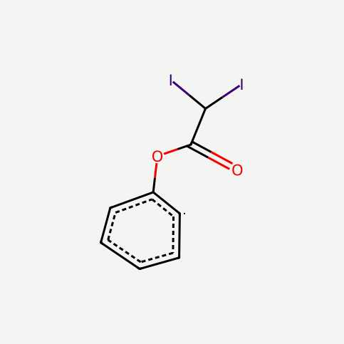 O=C(Oc1[c]cccc1)C(I)I